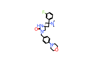 CN(C)[C@]1(c2cccc(F)c2)C[C@@]2(CN(Cc3ccc(N4CCOCC4)cc3)C(=O)N2)C1